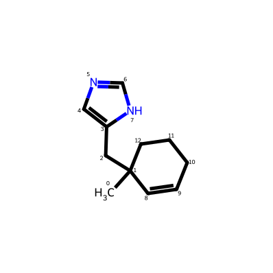 CC1(Cc2cnc[nH]2)C=CCCC1